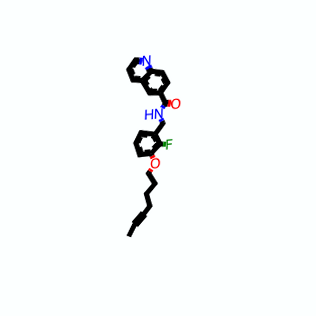 CC#CCCCCOc1cccc(CNC(=O)c2ccc3ncccc3c2)c1F